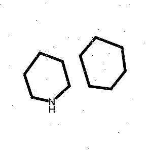 [CH]1CCCCC1.[CH]1CCNCC1